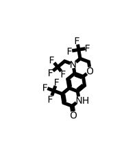 O=c1cc(C(F)(F)F)c2cc3c(cc2[nH]1)OCC(C(F)(F)F)N3CC(F)(F)F